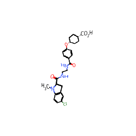 CN1c2ccc(Cl)cc2CC1C(=O)NCCNC(=O)c1ccc(O[C@H]2CC[C@@H](C(=O)O)CC2)cc1